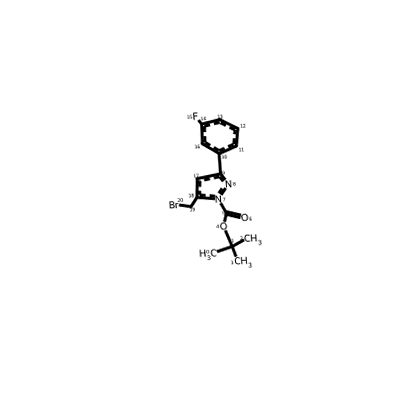 CC(C)(C)OC(=O)n1nc(-c2cccc(F)c2)cc1CBr